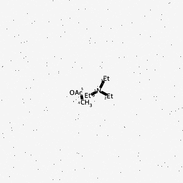 CCN(CC)CC.COC(C)=O